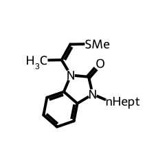 CCCCCCCn1c(=O)n(/C(C)=C\SC)c2ccccc21